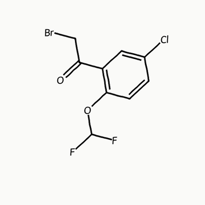 O=C(CBr)c1cc(Cl)ccc1OC(F)F